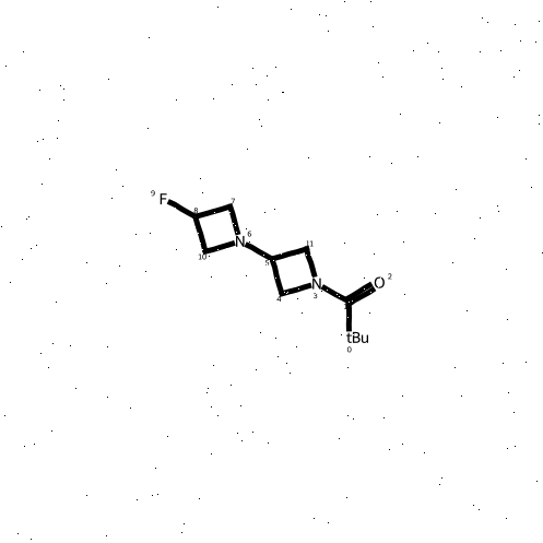 CC(C)(C)C(=O)N1CC(N2CC(F)C2)C1